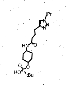 CC(C)n1cc(CCCC(=O)NC2CCC(OP(=O)(O)C(C)(C)C)CC2)nn1